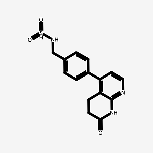 O=C1CCc2c(-c3ccc(CN[SH](=O)=O)cc3)ccnc2N1